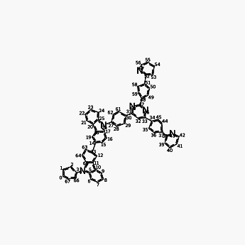 c1ccc(-n2c3ccccc3c3cc(-c4ccc5c(c4)c4ccccc4n5-c4ccc(-c5cc(-c6ccc(-c7ccccn7)cc6)nc(-c6ccc(-c7ccccn7)cc6)n5)cc4)ccc32)cc1